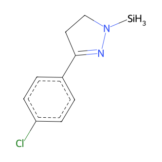 [SiH3]N1CCC(c2ccc(Cl)cc2)=N1